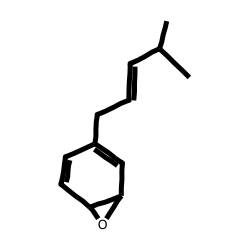 CC(C)C=CCC1=CC2OC2C=C1